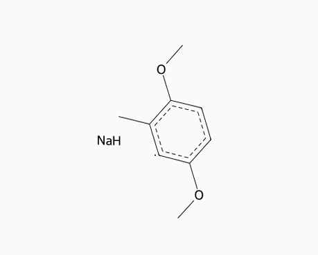 COc1[c]c(C)c(OC)cc1.[NaH]